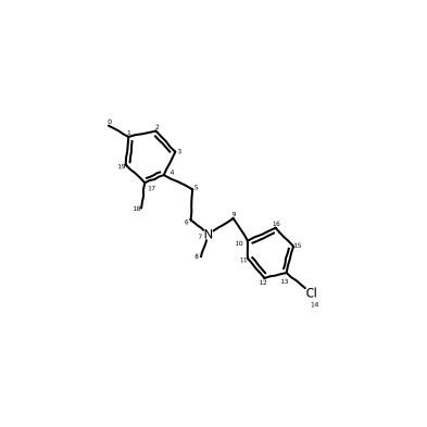 Cc1ccc(CCN(C)Cc2ccc(Cl)cc2)c(C)c1